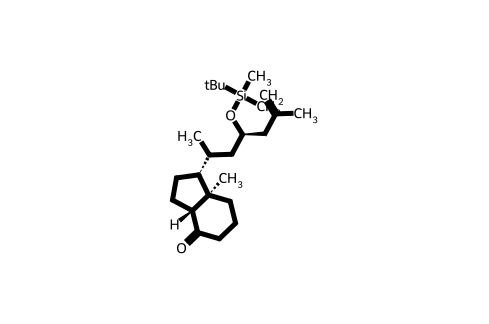 C=C(C)C[C@@H](CC(C)[C@H]1CC[C@H]2C(=O)CCC[C@]12C)O[Si](C)(C)C(C)(C)C